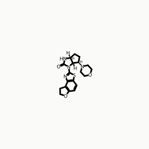 O=C1N[C@@H]2CC[C@@H](N3CCOCC3)[C@@H]2N1c1nc2c3c(ccc2s1)OCC3